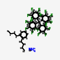 CCCCc1ccccc1CCCC.Fc1c(F)c(F)c([B-](c2c(F)c(F)c(F)c(F)c2F)(c2c(F)c(F)c(F)c(F)c2F)c2c(F)c(F)c(F)c(F)c2F)c(F)c1F.[NH4+]